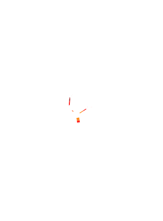 O=[PH](O)OBr